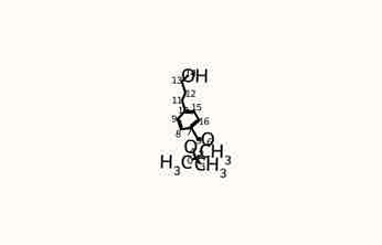 CC(C)(C)OC(=O)c1ccc(CCCO)cc1